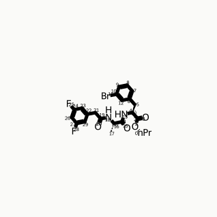 CCCOC(=O)[C@H](Cc1cccc(Br)c1)NC(=O)[C@H](C)NC(=O)Cc1cc(F)cc(F)c1